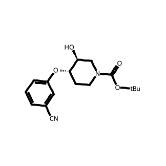 CC(C)(C)OC(=O)N1CC[C@H](Oc2cccc(C#N)c2)[C@@H](O)C1